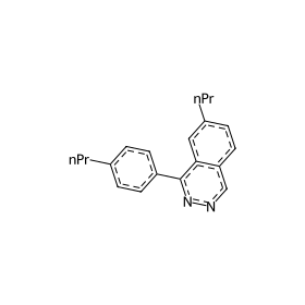 CCCc1ccc(-c2nncc3ccc(CCC)cc23)cc1